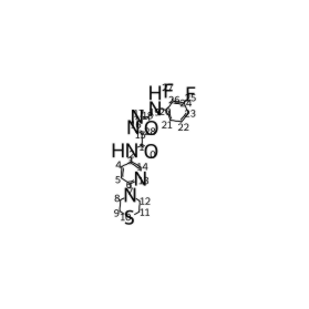 O=C(Nc1ccc(N2CCSCC2)nc1)c1nnc(Nc2cccc(F)c2F)o1